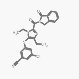 CCc1nc(C(=O)N2Cc3ccccc3C2=O)n(CC)c1Sc1cc(Cl)cc(C#N)c1